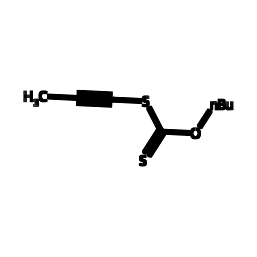 CC#CSC(=S)OCCCC